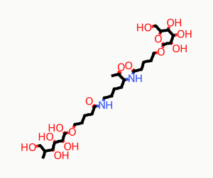 CC(=O)C(CCCCNC(=O)CCCCOC(O)C(O)C(O)C(O)C(C)CO)NC(=O)CCCCOC1OC(CO)C(O)C(O)C1O